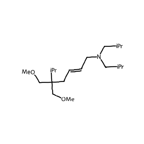 COCC(CC=CCN(CC(C)C)CC(C)C)(COC)C(C)C